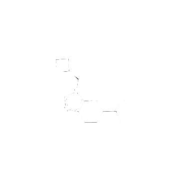 O=C(O)C1CCc2ncn(C[C@@H]3CCO3)c2C1